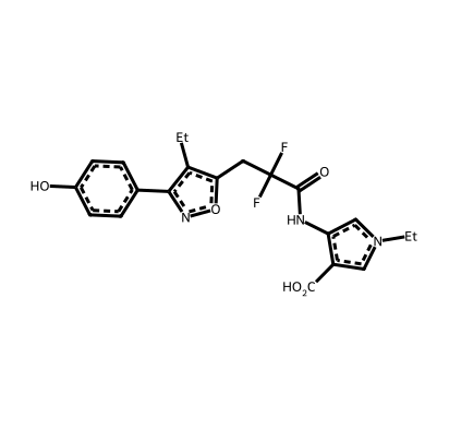 CCc1c(-c2ccc(O)cc2)noc1CC(F)(F)C(=O)Nc1cn(CC)cc1C(=O)O